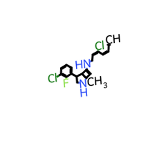 C#C/C=C\C(Cl)=C/CNC1=CC2(C)NCC(c3cccc(Cl)c3F)C12